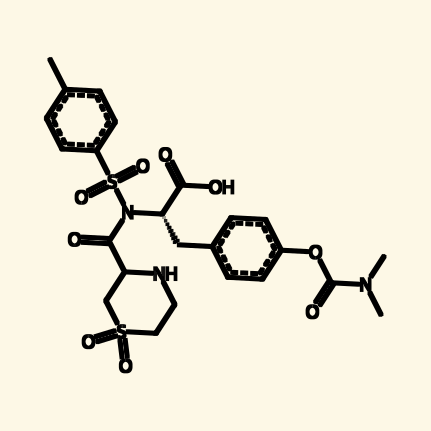 Cc1ccc(S(=O)(=O)N(C(=O)C2CS(=O)(=O)CCN2)[C@@H](Cc2ccc(OC(=O)N(C)C)cc2)C(=O)O)cc1